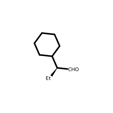 CC[C@H](C=O)C1CCCCC1